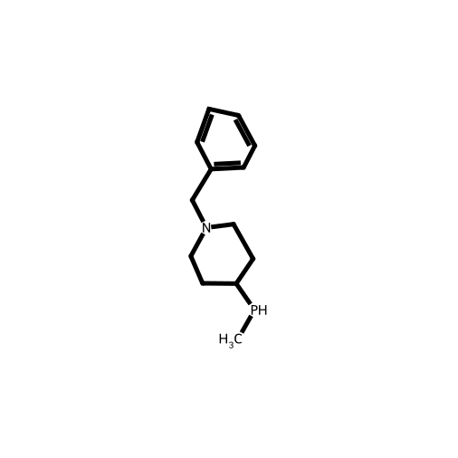 CPC1CCN(Cc2ccccc2)CC1